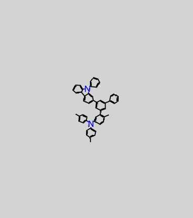 Cc1ccc(N(c2ccc(C)cc2)c2ccc(C)c(-c3cc(-c4ccccc4)cc(-c4ccc5c6ccccc6n(-c6ccccc6)c5c4)c3)c2)cc1